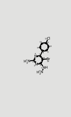 NNc1nc(N)nc(-c2ccc(Cl)cc2)c1Br